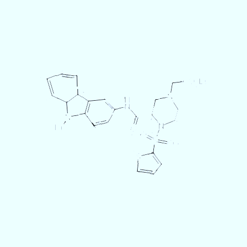 CCOC(=O)CN1CCN(S(=O)(=O)c2cccs2)[C@H](C(=O)Nc2ccc3c(c2)C2C=CC=CC2N3CC)C1